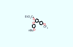 CCCCOc1ccc(Oc2cc(-c3ccc(OC(F)(F)F)cc3)ccc2OCC(=O)OCC)cc1